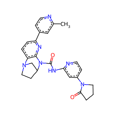 Cc1cc(-c2ccc3c(n2)N(C(=O)Nc2cc(N4CCCC4=O)ccn2)C2CCN3C2)ccn1